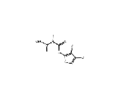 CN(C=O)N(C)C(=O)Oc1snc(Cl)c1Cl